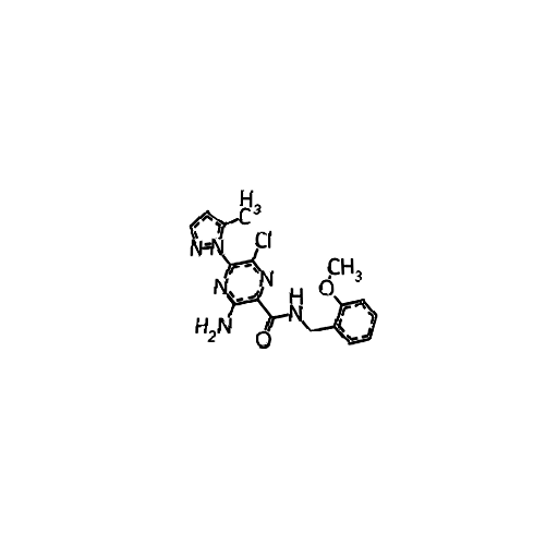 COc1ccccc1CNC(=O)c1nc(Cl)c(-n2nccc2C)nc1N